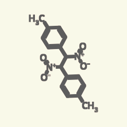 Cc1ccc(C(C(c2ccc(C)cc2)[N+](=O)[O-])[N+](=O)[O-])cc1